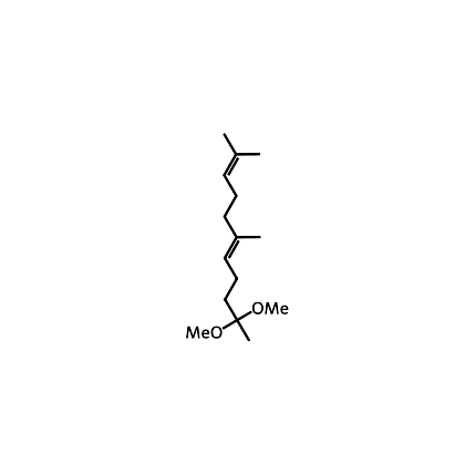 COC(C)(CC/C=C(\C)CCC=C(C)C)OC